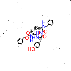 CC[C@H](C)[C@H](NCc1ccccc1)C(=O)NC(=O)[C@H](Cc1ccc(O)cc1)NC(=O)[C@@H](NC(=O)OCc1ccccc1)C(C)C